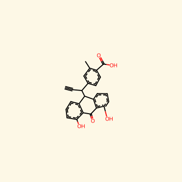 C#CC(c1ccc(C(=O)O)c(C)c1)C1c2cccc(O)c2C(=O)c2c(O)cccc21